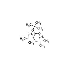 CC(C)(C)CC(C(=O)OC(C)(C)C)C(C)(C)C